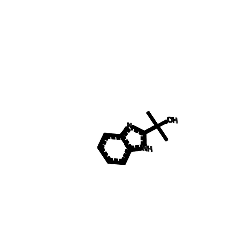 CC(C)(O)c1nc2ccccc2[nH]1